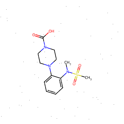 CN(c1ccccc1N1CCN(C(=O)O)CC1)S(C)(=O)=O